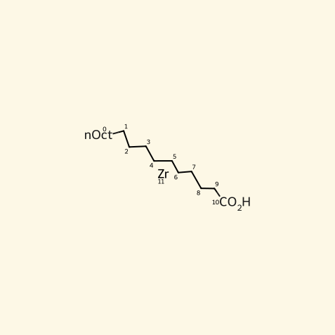 CCCCCCCCCCCCCCCCCC(=O)O.[Zr]